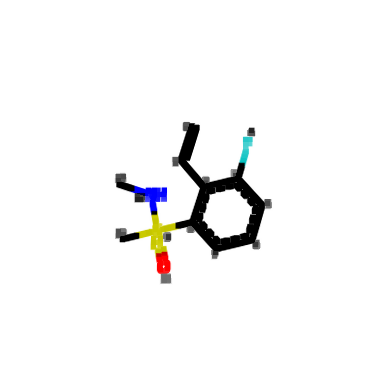 C=Cc1c(F)cccc1[SH](C)(=O)NC